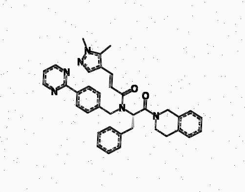 Cc1c(C=CC(=O)N(Cc2ccc(-c3ncccn3)cc2)[C@@H](Cc2ccccc2)C(=O)N2CCc3ccccc3C2)cnn1C